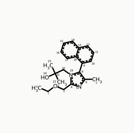 CCOCc1nc(C)c(-c2cccc3ccccc23)n1CC(C)(C)O